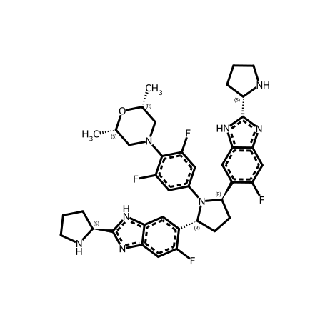 C[C@@H]1CN(c2c(F)cc(N3[C@@H](c4cc5[nH]c([C@@H]6CCCN6)nc5cc4F)CC[C@@H]3c3cc4[nH]c([C@@H]5CCCN5)nc4cc3F)cc2F)C[C@H](C)O1